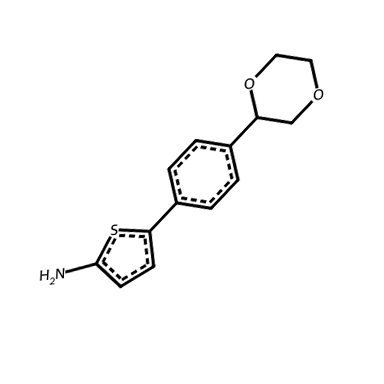 Nc1ccc(-c2ccc(C3COCCO3)cc2)s1